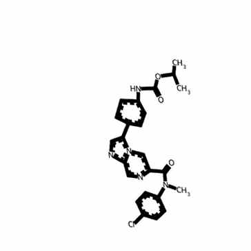 CC(C)OC(=O)Nc1ccc(-c2cnc3cnc(C(=O)N(C)c4ccc(Cl)cc4)cn23)cc1